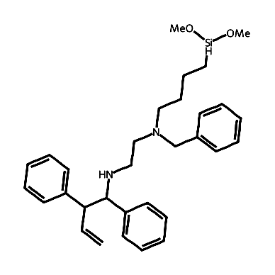 C=CC(c1ccccc1)C(NCCN(CCCC[SiH](OC)OC)Cc1ccccc1)c1ccccc1